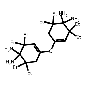 CCC1(CC)C=C(OC2=CC(CC)(CC)C(N)(N)C(CC)(CC)C2)CC(CC)(CC)C1(N)N